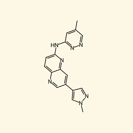 Cc1cnnc(Nc2ccc3ncc(-c4cnn(C)c4)cc3n2)c1